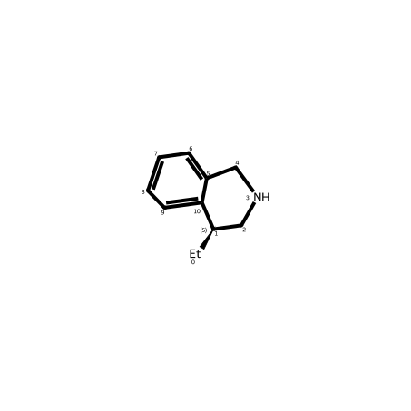 CC[C@@H]1CNCc2ccccc21